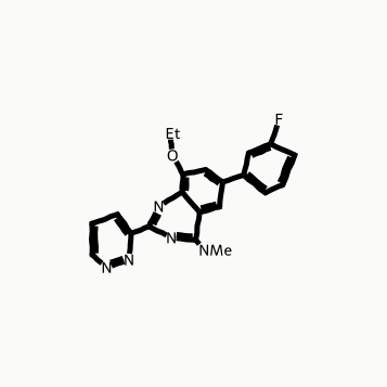 CCOc1cc(-c2cccc(F)c2)cc2c(NC)nc(-c3cccnn3)nc12